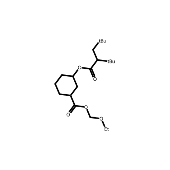 CCOCOC(=O)C1CCCC(OC(=O)C(CC(C)(C)C)C(C)(C)C)C1